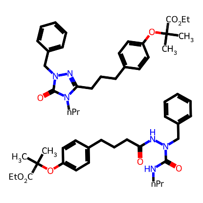 CCCNC(=O)N(Cc1ccccc1)NC(=O)CCCc1ccc(OC(C)(C)C(=O)OCC)cc1.CCCn1c(CCCc2ccc(OC(C)(C)C(=O)OCC)cc2)nn(Cc2ccccc2)c1=O